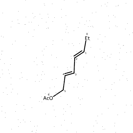 CCC=CC=CCOC(C)=O